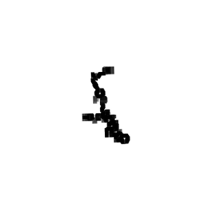 Cc1cc(N(C)c2nc(C(=O)O)c(CCCOc3ccc(C#CCN(C)CCCO)cc3F)s2)nnc1Nc1nc2ccccc2s1